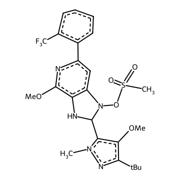 COc1nc(-c2ccccc2C(F)(F)F)cc2c1NC(c1c(OC)c(C(C)(C)C)nn1C)N2OS(C)(=O)=O